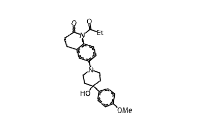 CCC(=O)N1C(=O)CCc2cc(N3CCC(O)(c4ccc(OC)cc4)CC3)ccc21